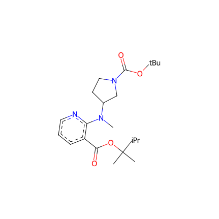 CC(C)C(C)(C)OC(=O)c1cccnc1N(C)C1CCN(C(=O)OC(C)(C)C)C1